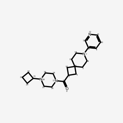 O=C(C1CC2(CCN(c3cccnc3)CC2)C1)N1CCN(C2CCC2)CC1